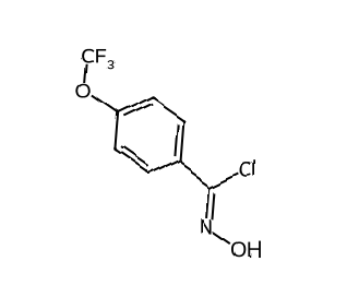 ON=C(Cl)c1ccc(OC(F)(F)F)cc1